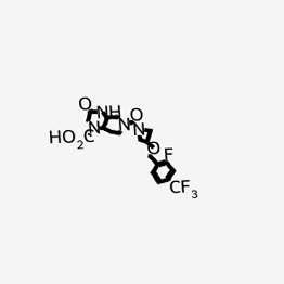 O=C1CN(C(=O)O)C2CCN(C(=O)N3CC(OCc4ccc(C(F)(F)F)cc4F)C3)CC2N1